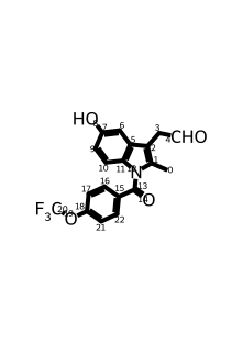 Cc1c(CC=O)c2cc(O)ccc2n1C(=O)c1ccc(OC(F)(F)F)cc1